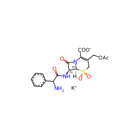 CC(=O)OCC1=C(C(=O)[O-])N2C(=O)[C@H](NC(=O)C(N)c3ccccc3)[C@@H]2S(=O)(=O)C1.[K+]